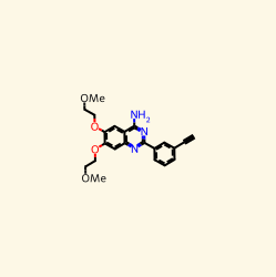 C#Cc1cccc(-c2nc(N)c3cc(OCCOC)c(OCCOC)cc3n2)c1